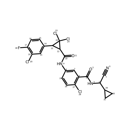 N#CC(NC(=O)c1cc(NC(=O)C2C(c3ccc(F)c(Cl)c3)C2(Cl)Cl)ccc1Cl)C1CC1